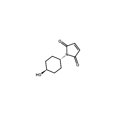 O=C1C=CC(=O)N1[C@H]1CC[C@H](O)CC1